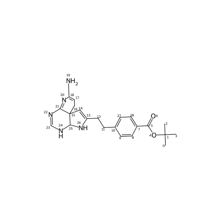 CC(C)(C)OC(=O)c1ccc(CCC2=CC34CC=C(N)N=C3N=CNC4N2)cc1